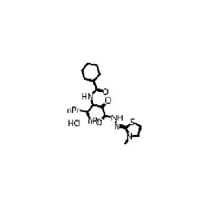 CCCC(CCC)C(NC(=O)C1CCCCC1)C(=O)C(=O)NN=C1SCCN1C.Cl